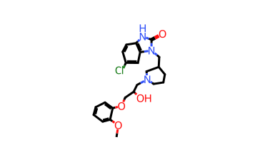 COc1ccccc1OCC(O)CN1CCCC(Cn2c(=O)[nH]c3ccc(Cl)cc32)C1